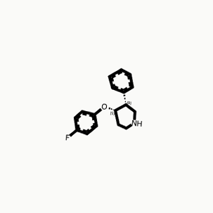 Fc1ccc(O[C@H]2CCNC[C@H]2c2ccccc2)cc1